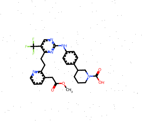 COC(=O)Cc1cccnc1CCc1nc(Nc2ccc(C3CCCN(C(=O)O)C3)cc2)ncc1C(F)(F)F